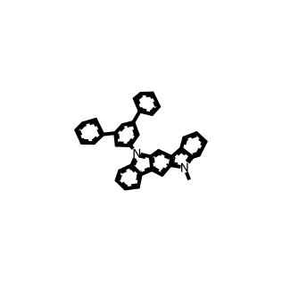 Cn1c2ccccc2c2cc3c(cc21)c1ccccc1n3-c1cc(-c2ccccc2)cc(-c2ccccc2)c1